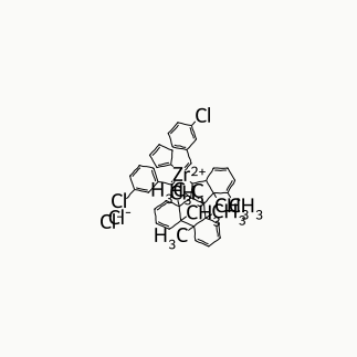 CC1=CC=CC2[CH]([Zr+2](=[CH]c3cccc(Cl)c3)(=[CH]c3cccc(Cl)c3)[C]3=CC=CC3)C3(C)C4(C)C=CC=CC4(C)C4(C)C=CC=CC4(C)C3(C)C12C.[Cl-].[Cl-]